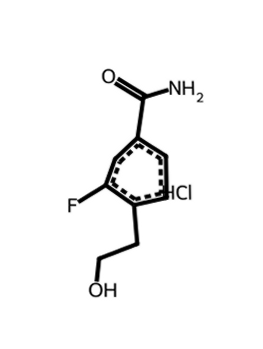 Cl.NC(=O)c1ccc(CCO)c(F)c1